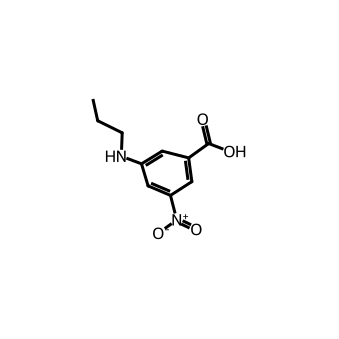 CCCNc1cc(C(=O)O)cc([N+](=O)[O-])c1